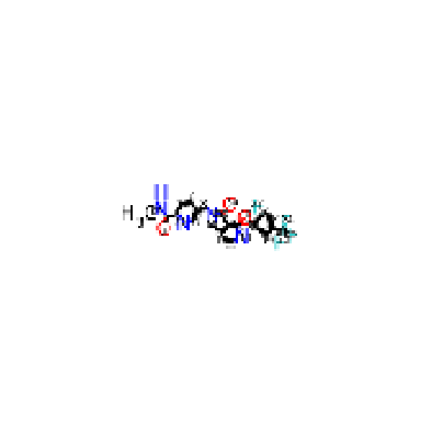 CNC(=O)c1ccc(CN2Cc3ccnc(Oc4ccc(C(F)(F)F)cc4F)c3C2=O)cn1